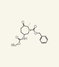 C[C@H]1C(=O)CCC(NC(=O)OC(C)(C)C)CN1C(=O)OCc1ccccc1